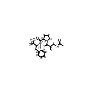 CC(=O)SCC(C)C(=O)N1CCCC1C(=O)NC(Cc1ccccc1)C(=O)O